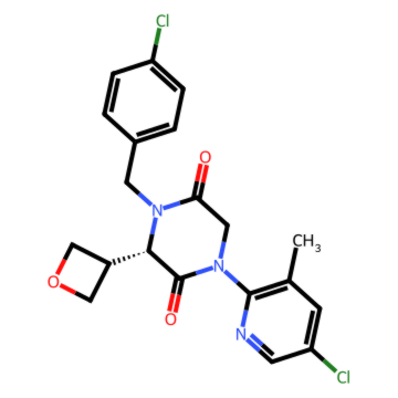 Cc1cc(Cl)cnc1N1CC(=O)N(Cc2ccc(Cl)cc2)[C@@H](C2COC2)C1=O